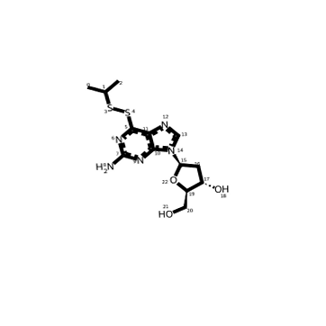 CC(C)SSc1nc(N)nc2c1ncn2[C@H]1C[C@H](O)[C@@H](CO)O1